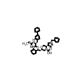 COC(=O)N[C@@H](Cc1ccc(-c2ccccc2)cc1)C(=O)Nc1ccccc1CC[C@@H]1CN(C(=O)O)[C@H](c2cn(Cc3ccccc3)nn2)CO1